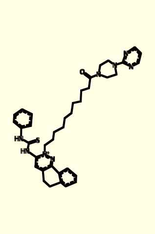 O=C(CCCCCCCCCC[n+]1nc2c(cc1NC(=S)Nc1ccccc1)CCc1ccccc1-2)N1CCN(c2ncccn2)CC1